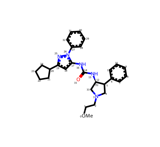 COCCN1CC(c2ccccc2)[C@H](NC(=O)Nc2cc(C3CCCC3)nn2-c2ccccc2)C1